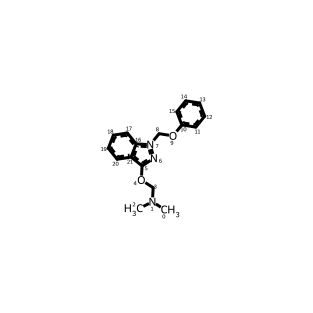 CN(C)COc1nn(COc2ccccc2)c2ccccc12